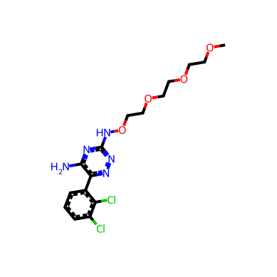 COCCOCCOCCONc1nnc(-c2cccc(Cl)c2Cl)c(N)n1